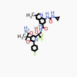 Cc1cnc2c(NC(=O)NC3CC3)cc(C(=O)NC[C@](O)(c3cc4c(c(-c5ccc(F)cc5)n3)OC[C@]4(C)C(N)=O)C(F)(F)F)cc2c1